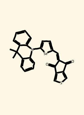 CC1(C)c2ccccc2N(c2ccc(C=C3C(=O)c4cscc4C3=O)[se]2)c2ccccc21